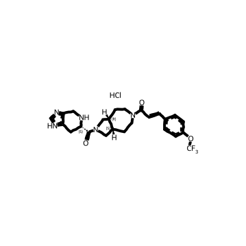 Cl.O=C(C=Cc1ccc(OC(F)(F)F)cc1)N1CC[C@@H]2CN(C(=O)[C@@H]3Cc4[nH]cnc4CN3)C[C@@H]2CC1